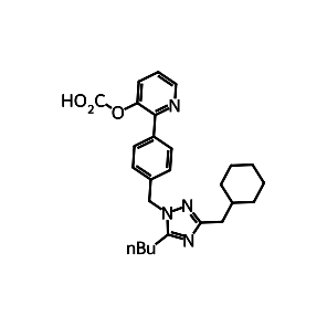 CCCCc1nc(CC2CCCCC2)nn1Cc1ccc(-c2ncccc2OC(=O)O)cc1